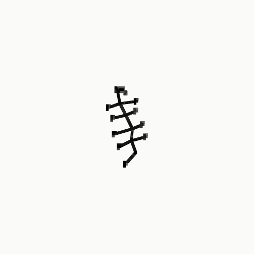 NC(F)(F)C(F)(F)C(F)(F)C(F)(F)CF